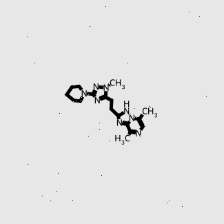 CC1=CN=C(C)C2=NC(CCc3nc(N4CCCCC4)nn3C)NN12